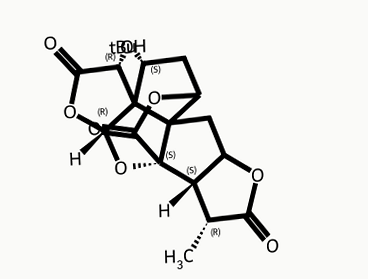 C[C@H]1C(=O)OC2CC34C5C[C@@H](C(C)(C)C)C36[C@@H](OC(=O)[C@@H]6O)O[C@@]4(C(=O)O5)[C@H]21